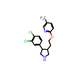 FC(F)(F)c1ccc(OCCC2CNCC2c2ccc(Cl)c(Cl)c2)nc1